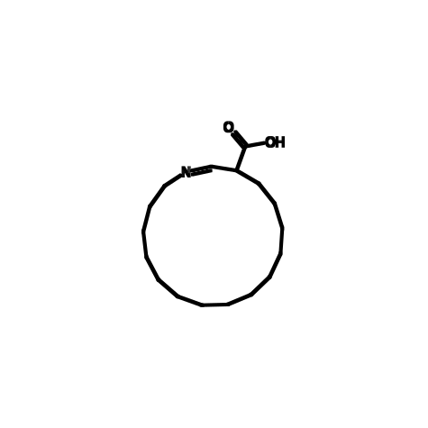 O=C(O)C1C=NCCCCCCCCCCCCCC1